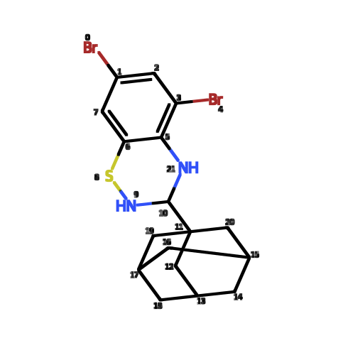 Brc1cc(Br)c2c(c1)SNC(C13CC4CC(CC(C4)C1)C3)N2